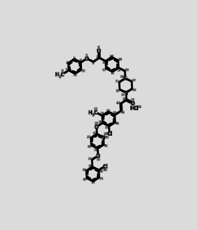 Cc1ccc(OCC(=O)c2ccc(CN3CCN(C(=O)C=Cc4cc(C)c(Oc5ccc(OCc6ccccc6Cl)cn5)c(Cl)c4)CC3)cc2)cc1.Cl